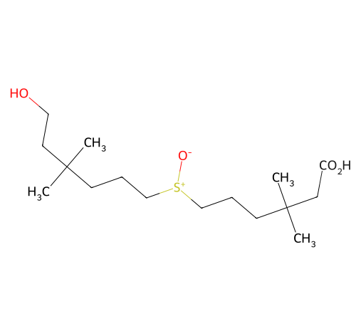 CC(C)(CCO)CCC[S+]([O-])CCCC(C)(C)CC(=O)O